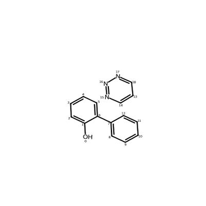 Oc1ccccc1-c1ccccc1.c1cnnnc1